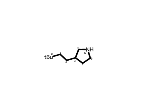 CC(C)(C)CCC1CCNC1